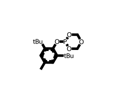 Cc1cc(C(C)(C)C)c(OP2OCOCO2)c(C(C)(C)C)c1